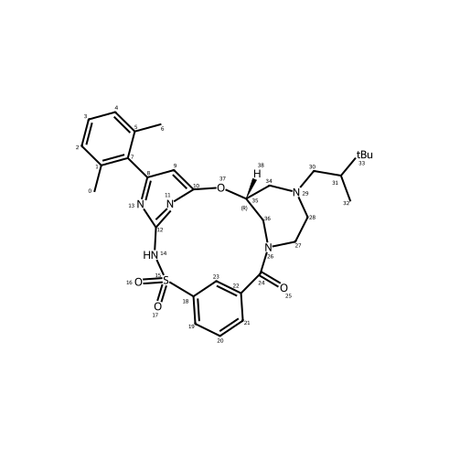 Cc1cccc(C)c1-c1cc2nc(n1)NS(=O)(=O)c1cccc(c1)C(=O)N1CCN(CC(C)C(C)(C)C)C[C@H](C1)O2